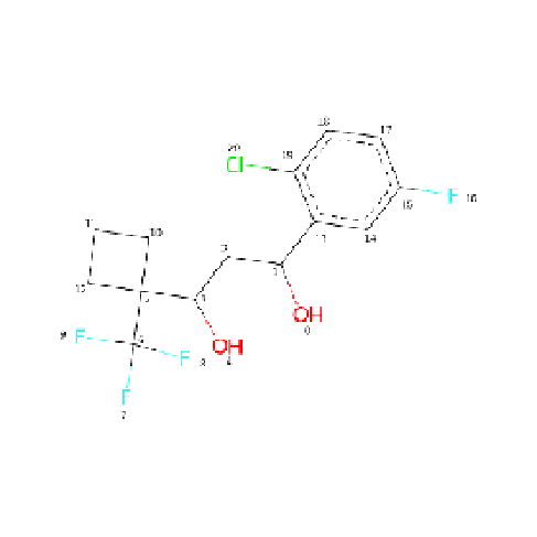 OC(CC(O)C1(C(F)(F)F)CCC1)c1cc(F)ccc1Cl